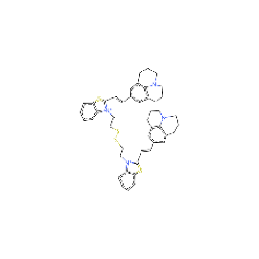 C(=C\c1sc2ccccc2[n+]1CCSSCC[n+]1c(/C=C/c2cc3c4c(c2)CCCN4CCC3)sc2ccccc21)/c1cc2c3c(c1)CCCN3CCC2